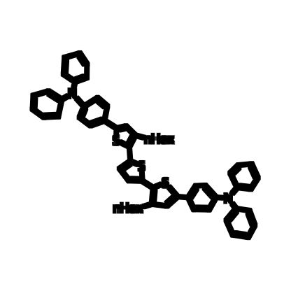 CCCCCCc1cc(-c2ccc(N(c3ccccc3)c3ccccc3)cc2)sc1-c1ccc(-c2sc(-c3ccc(N(c4ccccc4)c4ccccc4)cc3)cc2CCCCCC)s1